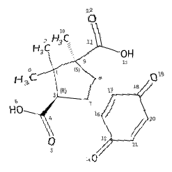 CC1(C)[C@H](C(=O)O)CC[C@]1(C)C(=O)O.O=C1C=CC(=O)C=C1